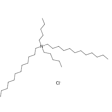 CCCCCCCCCCCC[N+](CCCCC)(CCCCC)CCCCCCCCCCCC.[Cl-]